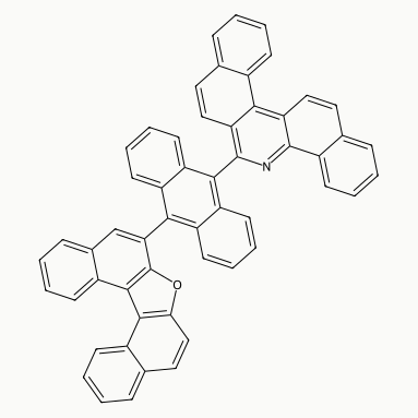 c1ccc2c(c1)ccc1c2nc(-c2c3ccccc3c(-c3cc4ccccc4c4c3oc3ccc5ccccc5c34)c3ccccc23)c2ccc3ccccc3c21